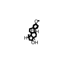 COc1ccc2c(c1)CC[C@@H]1[C@@H]2CC[C@]2(C)[C@H](O)C[C@@H]3C[C@]312